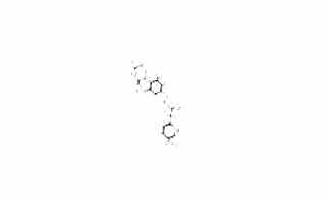 CC(C)(C(=O)NCc1cc(Cl)c(C2CCC(=O)NC2=O)c(Cl)c1)c1ccc(C#N)cn1